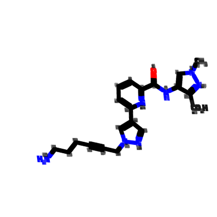 Cn1cc(NC(=O)c2cccc(-c3cnn(CC#CCCCN)c3)n2)c(C(=O)O)n1